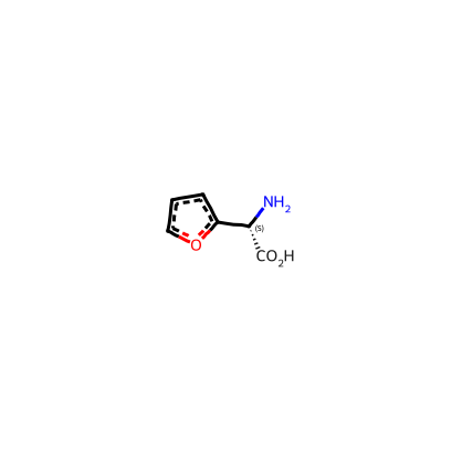 N[C@H](C(=O)O)c1ccco1